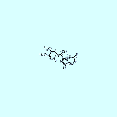 C=C(C)/C(C)=C\N=C(/C)c1n[nH]c2ncc(F)cc12